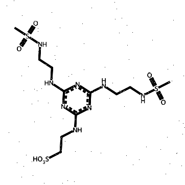 CS(=O)(=O)NCCNc1nc(NCCNS(C)(=O)=O)nc(NCCS(=O)(=O)O)n1